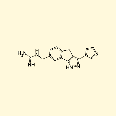 N=C(N)NCc1ccc2c(c1)-c1[nH]nc(-c3ccsc3)c1C2